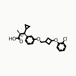 C[C@H](C(=O)O)[C@H](c1cccc(OCC2CC(Oc3ccccc3Cl)C2)c1)C1CC1